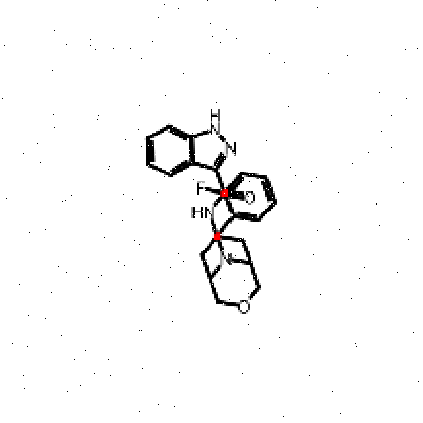 O=C(NC1CC2COCC(C1)N2Cc1ccccc1F)c1n[nH]c2ccccc12